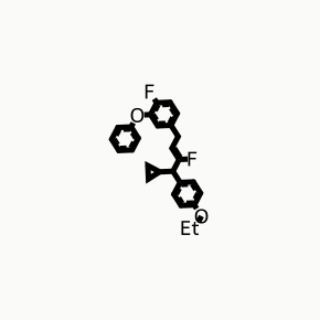 CCOc1ccc(C(C(F)=CCc2ccc(F)c(Oc3ccccc3)c2)C2CC2)cc1